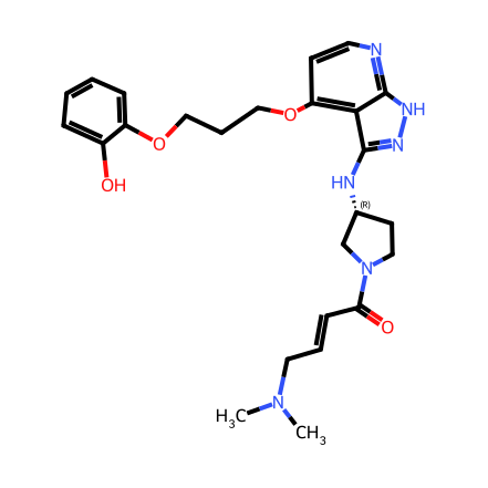 CN(C)CC=CC(=O)N1CC[C@@H](Nc2n[nH]c3nccc(OCCCOc4ccccc4O)c23)C1